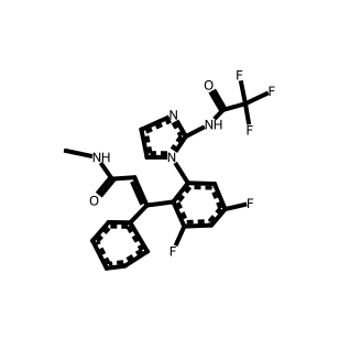 CNC(=O)C=C(c1ccccc1)c1c(F)cc(F)cc1-n1ccnc1NC(=O)C(F)(F)F